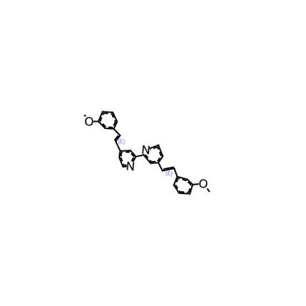 COc1cccc(/C=C/c2ccnc(-c3cc(/C=C/c4cccc(OC)c4)ccn3)c2)c1